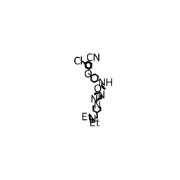 C=C(N[C@H]1CC[C@H](Oc2ccc(C#N)c(Cl)c2)CC1)Oc1cnc(N2CCC(CN(CC)CC)CC2)cn1